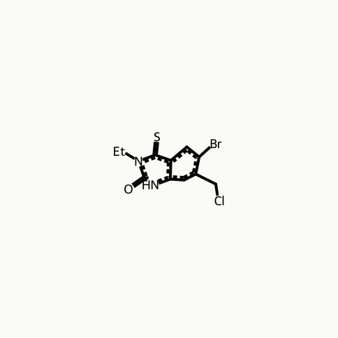 CCn1c(=O)[nH]c2cc(CCl)c(Br)cc2c1=S